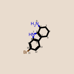 NC1CCCc2c1[nH]c1cc(Br)ccc21